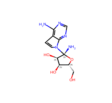 Nc1ncnc2c1ccn2[C@]1(N)O[C@H](CO)[C@@H](O)[C@H]1O